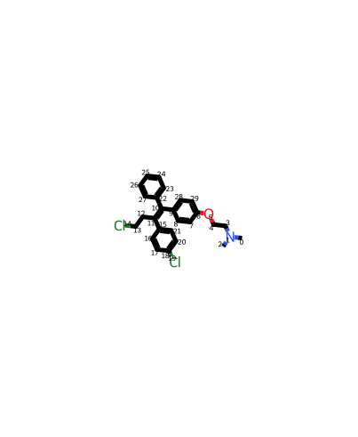 CN(C)CCOc1ccc(C(=C(CCCl)c2ccc(Cl)cc2)c2ccccc2)cc1